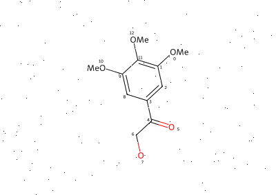 COc1cc(C(=O)C[O])cc(OC)c1OC